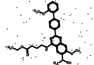 CCOC(=O)CCCNc1nc(-c2ccc(-c3ccccc3OC)cc2)nc2cc(OC)c(C(C)O)cc12